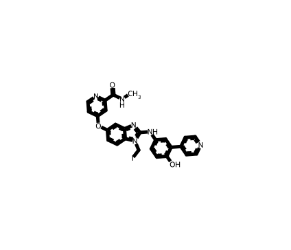 CNC(=O)c1cc(Oc2ccc3c(c2)nc(Nc2ccc(O)c(-c4ccncc4)c2)n3CI)ccn1